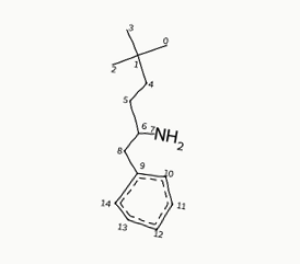 CC(C)(C)CCC(N)Cc1ccccc1